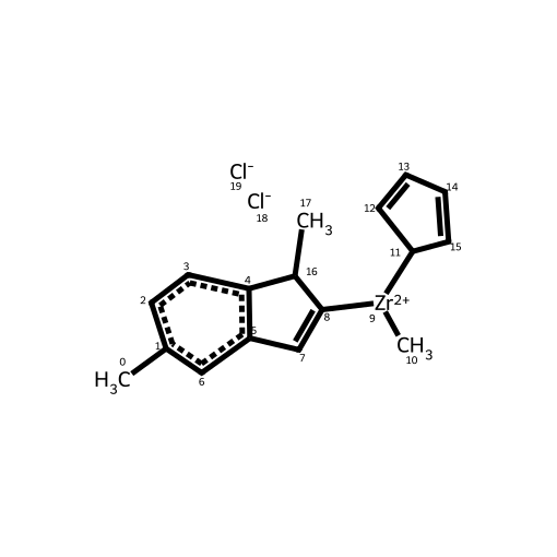 Cc1ccc2c(c1)C=[C]([Zr+2]([CH3])[CH]1C=CC=C1)C2C.[Cl-].[Cl-]